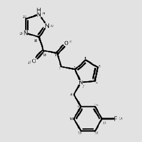 O=C(Cc1cccn1Cc1cccc(F)c1)C(=O)c1nc[nH]n1